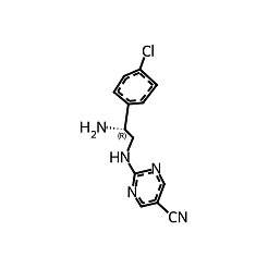 N#Cc1cnc(NC[C@H](N)c2ccc(Cl)cc2)nc1